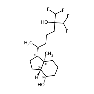 CC(CCCC(O)(C(F)F)C(F)F)[C@H]1CC[C@H]2[C@@H](O)CCC[C@]12C